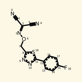 N#CC(C#N)=NOCc1nnc(-c2ccc(F)cc2)s1